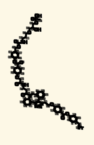 CC(C)Cc1ccc(OC(=O)c2ccc(OCCn3nnc4c3-c3ccccc3CN(C(=O)CCNC(=O)COc3ccc(C(=O)Oc5ccc(COC(=O)NCCCOCC(O)COP(C)(=O)O)cc5)cc3)c3ccccc3-4)cc2)cc1